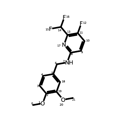 COc1ccc(CNc2ccc(F)c(C(F)F)n2)cc1OC